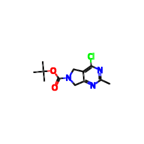 Cc1nc(Cl)c2c(n1)CN(C(=O)OC(C)(C)C)C2